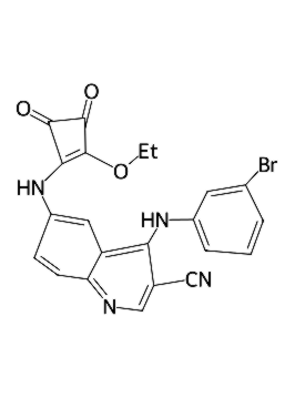 CCOc1c(Nc2ccc3ncc(C#N)c(Nc4cccc(Br)c4)c3c2)c(=O)c1=O